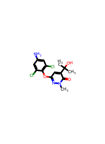 Cn1nc(Oc2c(Cl)cc(N)cc2Cl)cc(C(C)(C)O)c1=O